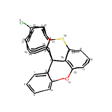 Clc1ccc(C23c4ccccc4Oc4cccc(c42)Sc2ccccc23)cc1